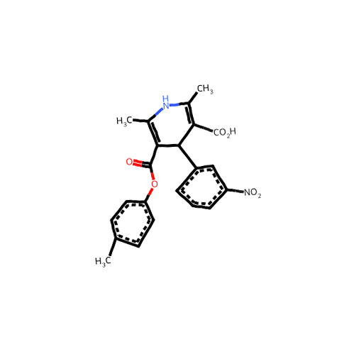 CC1=C(C(=O)O)C(c2cccc([N+](=O)[O-])c2)C(C(=O)Oc2ccc(C)cc2)=C(C)N1